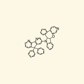 c1ccc(C2(c3ccccc3)c3cccnc3-c3ncc(N4c5ccccc5C5Oc6cnccc6-c6ccccc6C54)cc32)cc1